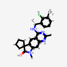 Cc1nc(N[C@H](C)c2cccc(C(F)(F)F)c2F)c2cc3c(cc2n1)N(C)C(=O)C31CCCC1